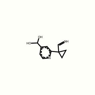 N=CC1(c2cc(C(O)O)ccn2)CC1